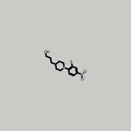 O=[N+]([O-])c1ccc(N2CCC(CCCO)CC2)c(F)c1